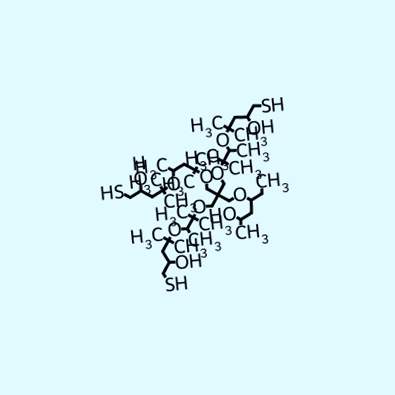 CCC(CC(C)O)OCC(COC(C)(C)CC(C)OC(C)(C)CC(O)CS)(COC(C)(C)C(C)OC(C)(C)CC(O)CS)COC(C)(C)C(C)OC(C)(C)CC(O)CS